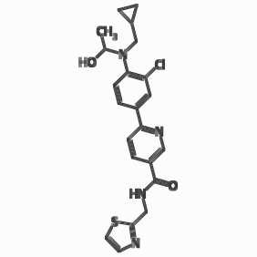 CC(O)N(CC1CC1)c1ccc(-c2ccc(C(=O)NCc3nccs3)cn2)cc1Cl